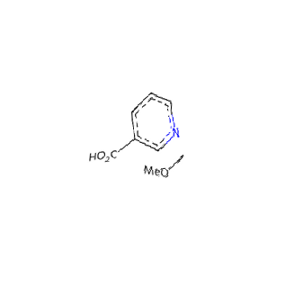 COC.O=C(O)c1cccnc1